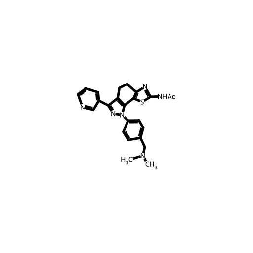 CC(=O)Nc1nc2c(s1)-c1c(c(-c3cccnc3)nn1-c1ccc(CN(C)C)cc1)CC2